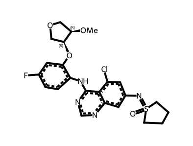 CO[C@@H]1COC[C@@H]1Oc1cc(F)ccc1Nc1ncnc2cc(N=S3(=O)CCCC3)cc(Cl)c12